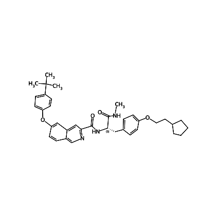 CNC(=O)[C@H](Cc1ccc(OCCC2CCCC2)cc1)NC(=O)c1cc2cc(Oc3ccc(C(C)(C)C)cc3)ccc2cn1